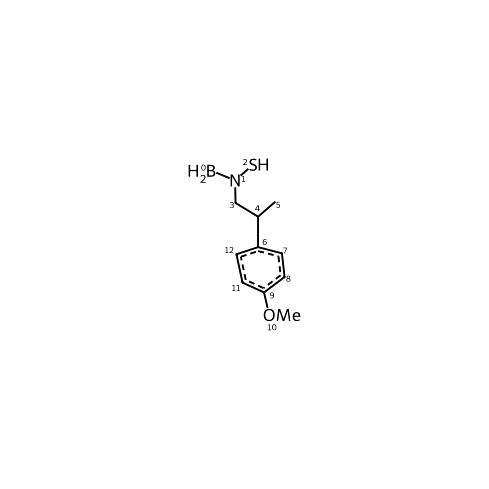 BN(S)CC(C)c1ccc(OC)cc1